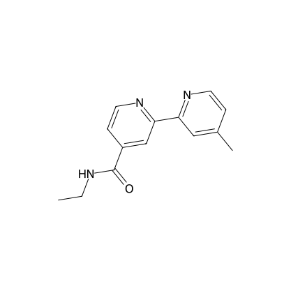 CCNC(=O)c1ccnc(-c2cc(C)ccn2)c1